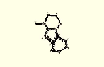 CN1CCCn2c1nc1ccccc12